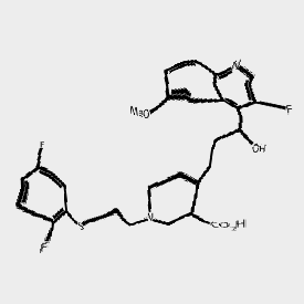 COc1ccc2ncc(F)c(C(O)CCC3CCN(CCSc4cc(F)ccc4F)CC3C(=O)O)c2c1